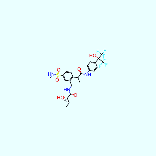 CC[C@@H](O)C(=O)NCc1cc(S(=O)(=O)NC)ccc1C(C)C(=O)Nc1ccc(C(O)(C(F)(F)F)C(F)(F)F)cc1